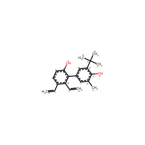 C=Cc1ccc(O)c(-c2cc(C)c(O)c(C(C)(C)C)c2)c1C=C